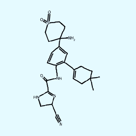 CC1(C)CC=C(c2cc(C3(N)CCS(=O)(=O)CC3)ccc2NC(=O)C2=NC(C#N)CN2)CC1